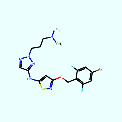 CN(C)CCCn1ncc(Nc2cc(OCc3c(F)cc(Br)cc3F)ns2)n1